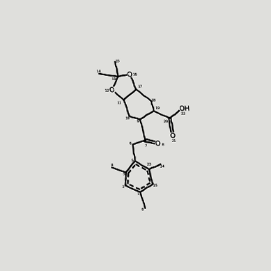 Cc1cc(C)c(CC(=O)C2CC3OC(C)(C)OC3CC2C(=O)O)c(C)c1